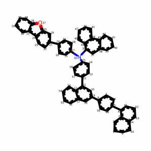 c1ccc2c(-c3ccc(-c4cc(-c5ccc(N(c6ccc(-c7ccc8c(c7)oc7ccccc78)cc6)c6cc7ccccc7c7ccccc67)cc5)c5ccccc5c4)cc3)cccc2c1